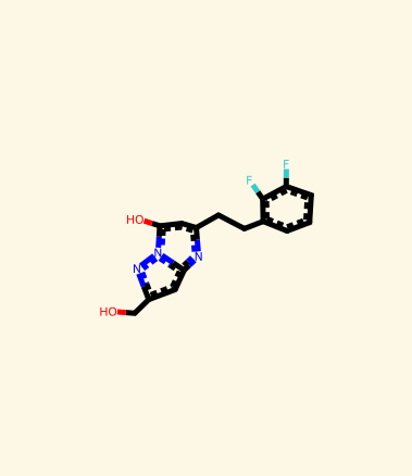 OCc1cc2nc(CCc3cccc(F)c3F)cc(O)n2n1